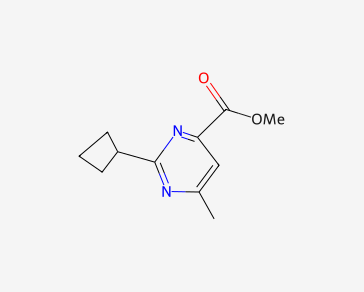 COC(=O)c1cc(C)nc(C2CCC2)n1